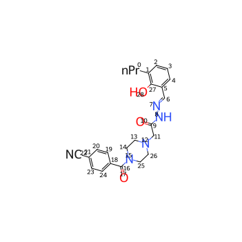 CCCc1cccc(C=NNC(=O)CN2CCN(C(=O)c3ccc(C#N)cc3)CC2)c1O